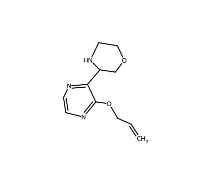 C=CCOc1nccnc1C1COCCN1